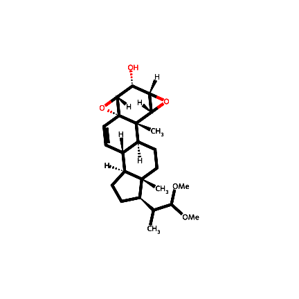 COC(OC)C(C)[C@H]1CC[C@H]2[C@@H]3C=C[C@@]45O[C@@H]4[C@H](O)[C@@H]4O[C@@H]4[C@]5(C)[C@H]3CC[C@]12C